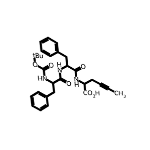 CC#CCC(NC(=O)C(Cc1ccccc1)NC(=O)C(Cc1ccccc1)NC(=O)OC(C)(C)C)C(=O)O